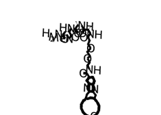 CNC(=O)[C@H](CC(N)=O)NC(=O)[C@H](C)NC(=O)[C@H](C)NC(=O)CCOCCOCCNC(=O)c1ccc2nc3c(nc2c1)Cc1cccccccccccc(c1)C3